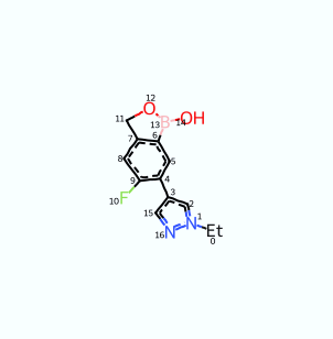 CCn1cc(-c2cc3c(cc2F)COB3O)cn1